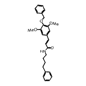 COc1cc(C=CC(=O)NCCCCc2ccccc2)cc(OC)c1OCc1ccccc1